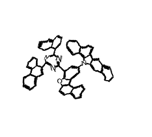 c1ccc2cc3c(cc2c1)c1ccc2ccccc2c1n3-c1cc(-c2nc(-c3cccc4ccccc34)nc(-c3cc4ccccc4c4ccccc34)n2)c2oc3ccc4ccccc4c3c2c1